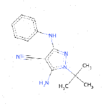 CC(C)(C)n1nc(Nc2ccccc2)c(C#N)c1N